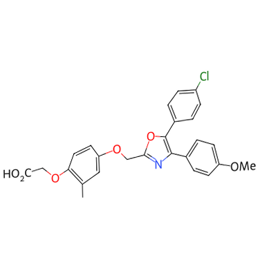 COc1ccc(-c2nc(COc3ccc(OCC(=O)O)c(C)c3)oc2-c2ccc(Cl)cc2)cc1